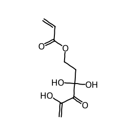 C=CC(=O)OCCC(O)(O)C(=O)C(=C)O